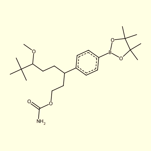 COC(CCC(CCOC(N)=O)c1ccc(B2OC(C)(C)C(C)(C)O2)cc1)C(C)(C)C